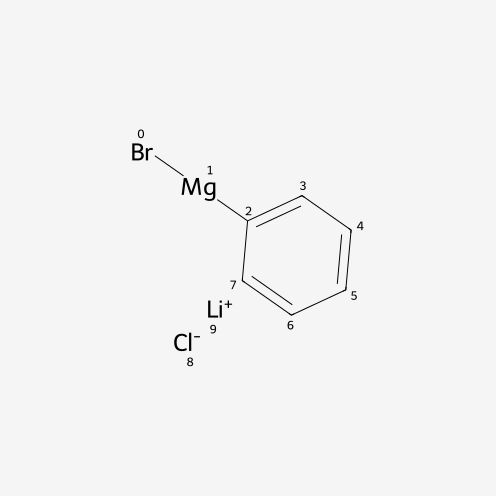 [Br][Mg][c]1ccccc1.[Cl-].[Li+]